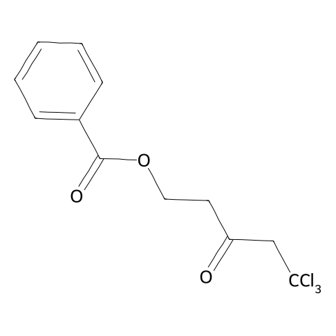 O=C(CCOC(=O)c1ccccc1)CC(Cl)(Cl)Cl